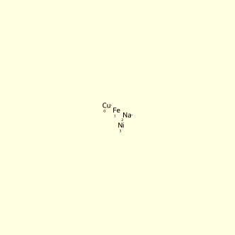 [Cu].[Fe].[Na].[Ni]